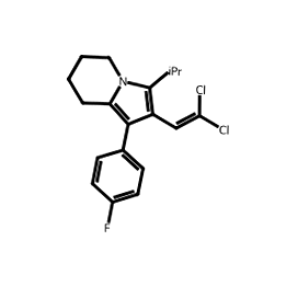 CC(C)c1c(C=C(Cl)Cl)c(-c2ccc(F)cc2)c2n1CCCC2